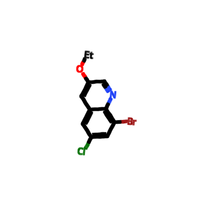 CCOc1cnc2c(Br)cc(Cl)cc2c1